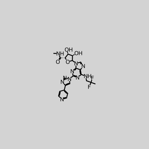 CNC(=O)[C@H]1OC(n2cnc3c(NCC(C)(F)F)nc(-n4cc(-c5ccncc5)nn4)nc32)[C@H](O)[C@@H]1O